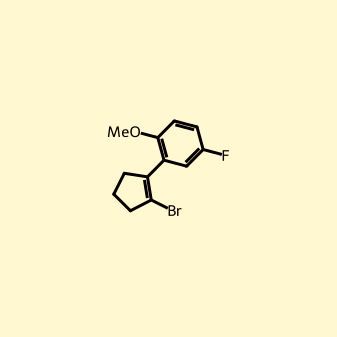 COc1ccc(F)cc1C1=C(Br)CCC1